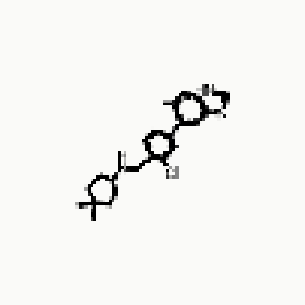 Cc1cc2[nH]cnc2cc1-c1ccc(CNC2CCC(C)(C)CC2)c(Cl)c1